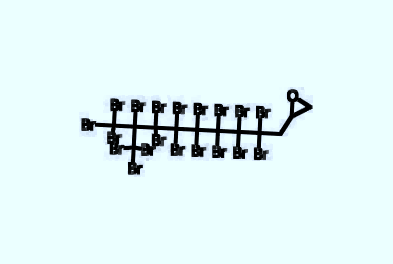 BrC(Br)(Br)C(Br)(C(Br)(Br)Br)C(Br)(Br)C(Br)(Br)C(Br)(Br)C(Br)(Br)C(Br)(Br)C(Br)(Br)CC1CO1